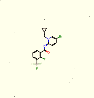 O=C(/N=c1\ccc(Br)cn1CC1CC1)c1cccc(C(F)(F)F)c1F